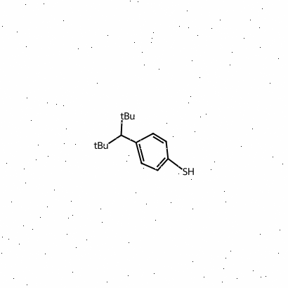 CC(C)(C)C(c1ccc(S)cc1)C(C)(C)C